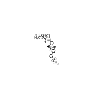 COC(=O)c1cccc(-c2ccc(F)c(S(=O)(=O)Nc3cccc(N(CCNC(=O)OC(C)(C)C)Cc4ccccc4)c3)c2)c1